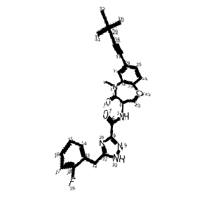 CN1C(=O)[C@H](NC(=O)c2n[nH]c(Cc3ccccc3F)n2)COc2ccc(C#CC(C)(C)C)cc21